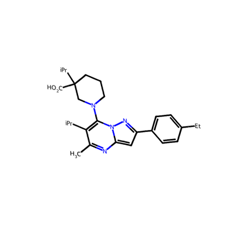 CCc1ccc(-c2cc3nc(C)c(C(C)C)c(N4CCCC(C(=O)O)(C(C)C)C4)n3n2)cc1